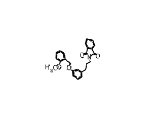 COc1ccccc1COc1cccc(CCCN2C(=O)c3ccccc3C2=O)c1